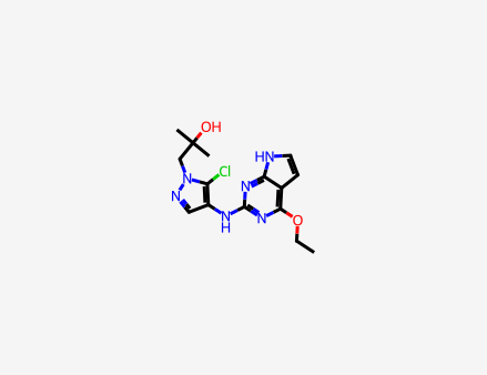 CCOc1nc(Nc2cnn(CC(C)(C)O)c2Cl)nc2[nH]ccc12